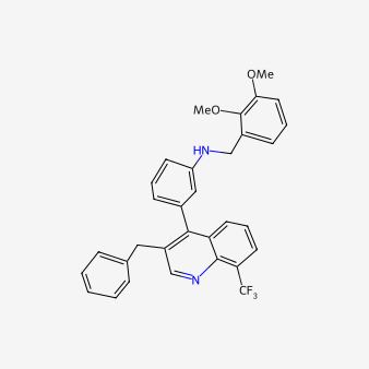 COc1cccc(CNc2cccc(-c3c(Cc4ccccc4)cnc4c(C(F)(F)F)cccc34)c2)c1OC